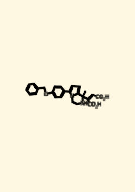 CC1(C(=CC(=O)O)C(=O)O)NCCn2c(-c3ccc(OCc4ccccc4)cc3)ccc21